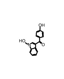 O=C(c1ccc(O)cc1)c1cn(CO)c2ccccc12